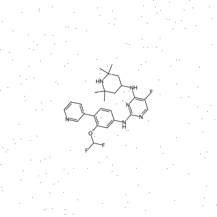 CC1(C)CC(Nc2nc(Nc3ccc(-c4cccnc4)c(OC(F)F)c3)ncc2F)CC(C)(C)N1